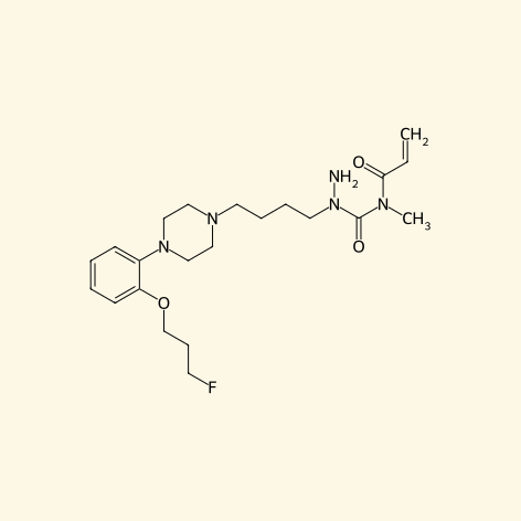 C=CC(=O)N(C)C(=O)N(N)CCCCN1CCN(c2ccccc2OCCCF)CC1